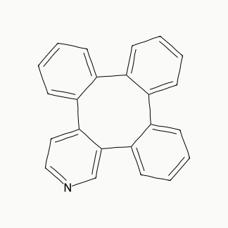 c1ccc2c(c1)-c1ccccc1-c1ccncc1-c1ccccc1-2